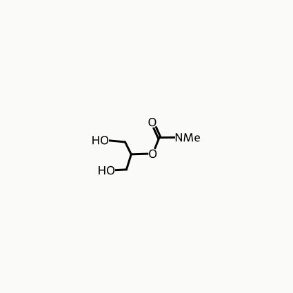 CNC(=O)OC(CO)CO